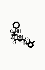 Cc1cccc(NC(=O)c2cc3n(n2)CC(C)(C(=O)NC2CCCCCC2)N(C)C3=O)c1C